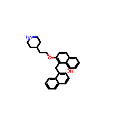 Oc1ccc2ccccc2c1Cc1c(OCCC2CCNCC2)ccc2ccccc12